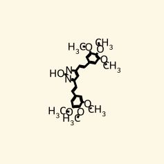 COc1cc(C=Cc2cc(C=Cc3cc(OC)c(OC)c(OC)c3)nc(O)n2)cc(OC)c1OC